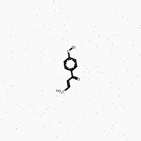 CCOc1ccc(C(=O)C=CC(=O)O)cc1